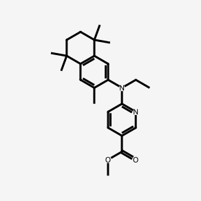 CCN(c1ccc(C(=O)OC)cn1)c1cc2c(cc1C)C(C)(C)CCC2(C)C